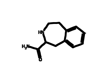 NC(=O)C1Cc2cc[c]cc2CCN1